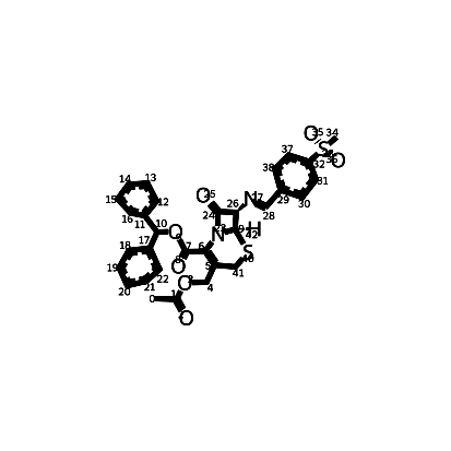 CC(=O)OCC1=C(C(=O)OC(c2ccccc2)c2ccccc2)N2C(=O)[C@@H](N=Cc3ccc(S(C)(=O)=O)cc3)[C@H]2SC1